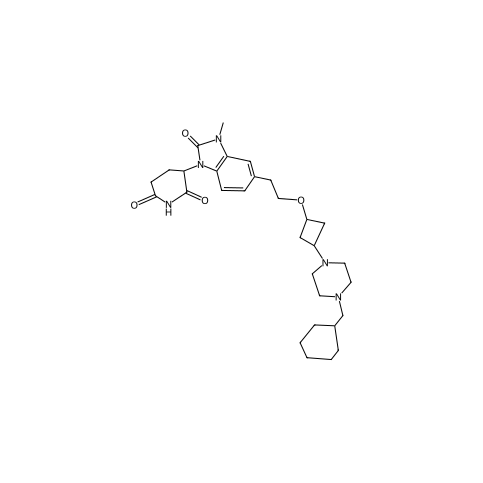 Cn1c(=O)n(C2CCC(=O)NC2=O)c2ccc(CCOC3CC(N4CCN(CC5CCCCC5)CC4)C3)cc21